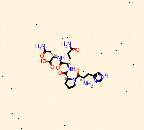 NC(=O)CC[C@H](NC(=O)[C@@H]1CCCN1C(=O)[C@@H](N)Cc1c[nH]cn1)C(=O)N[C@@H](CC(N)=O)C(=O)O